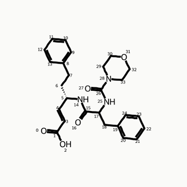 O=C(O)/C=C/[C@H](CCc1ccccc1)NC(=O)C(Cc1ccccc1)NC(=O)N1CCOCC1